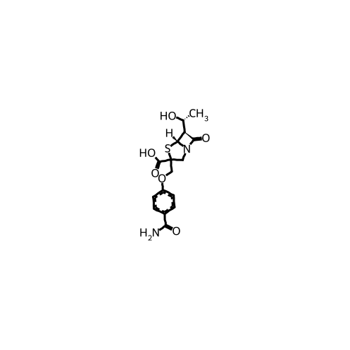 C[C@@H](O)[C@H]1C(=O)N2CC(COc3ccc(C(N)=O)cc3)(C(=O)O)S[C@H]12